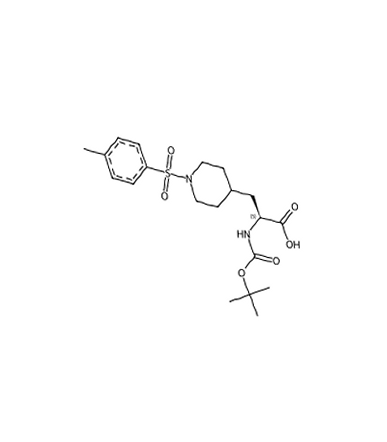 Cc1ccc(S(=O)(=O)N2CCC(C[C@H](NC(=O)OC(C)(C)C)C(=O)O)CC2)cc1